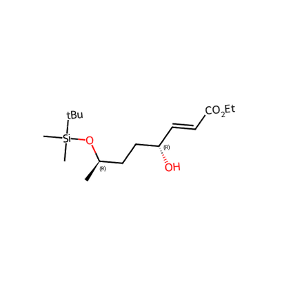 CCOC(=O)C=C[C@H](O)CC[C@@H](C)O[Si](C)(C)C(C)(C)C